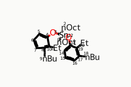 CCCCCCC[CH2][Sn]([CH2]CCCCCCC)([O]c1cccc(CCCC)c1CC)[O]c1cccc(CCCC)c1CC